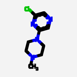 CN1CCN(c2cncc(Cl)n2)CC1